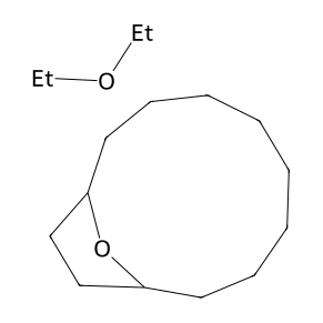 C1CCCCC2CCC(CCC1)O2.CCOCC